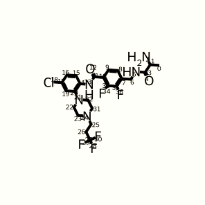 CC(N)C(=O)NCc1ccc(C(=O)Nc2ccc(Cl)cc2N2CCN(CCC(F)(F)F)CC2)c(F)c1F